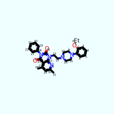 CCOc1ccccc1N1CCN(CCn2c(=O)n(-c3ccccc3)c(=O)c3c(C)cc(C)nc32)CC1